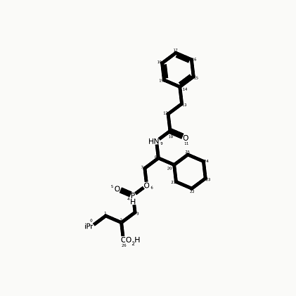 CC(C)CC(C[PH](=O)OCC(NC(=O)CCc1ccccc1)C1CCCCC1)C(=O)O